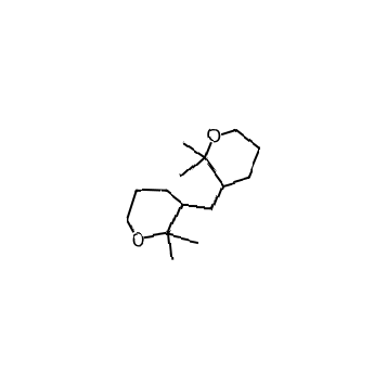 CC1(C)OCCCC1CC1CCCOC1(C)C